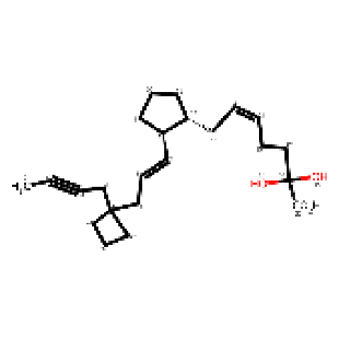 CC#CCC1(C/C=C/[C@H]2CCC[C@@H]2C/C=C\CCC(O)(O)C(=O)O)CCC1